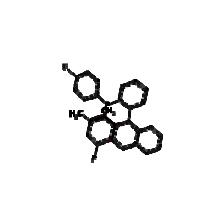 CC=C(C)c1ccc2ccccc2c1-c1ccccc1P(c1ccc(F)cc1)c1ccc(F)cc1